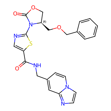 O=C(NCc1ccn2ccnc2c1)c1cnc(N2C(=O)OC[C@H]2COCc2ccccc2)s1